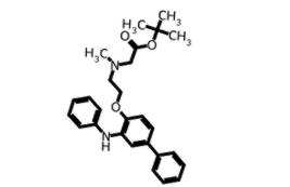 CN(CCOc1ccc(-c2ccccc2)cc1Nc1ccccc1)CC(=O)OC(C)(C)C